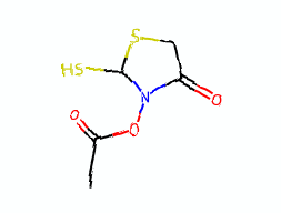 CC(=O)ON1C(=O)CSC1S